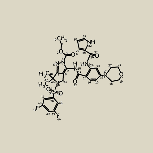 CCOC(=O)n1nc2c(c1NC(=O)c1ccc(N3CCOCC3)cc1NC(=O)c1ccc[nH]1)CN(S(=O)(=O)c1cc(F)cc(F)c1)C2(C)C